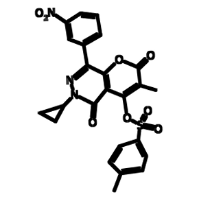 Cc1ccc(S(=O)(=O)Oc2c(C)c(=O)oc3c(-c4cccc([N+](=O)[O-])c4)nn(C4CC4)c(=O)c23)cc1